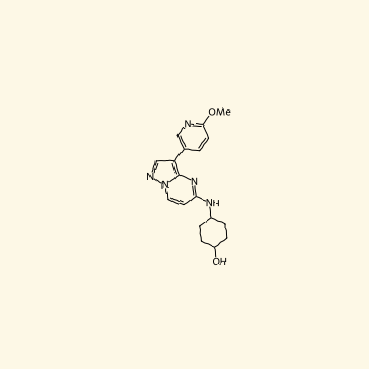 COc1ccc(-c2cnn3ccc(NC4CCC(O)CC4)nc23)cn1